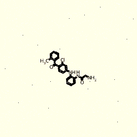 Cc1ccccc1C(=O)c1ccc(Nc2ccccc2NC(=O)CN)cc1Cl